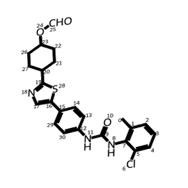 Cc1cccc(Cl)c1NC(=O)Nc1ccc(-c2cnc(C3CCC(OC=O)CC3)s2)cc1